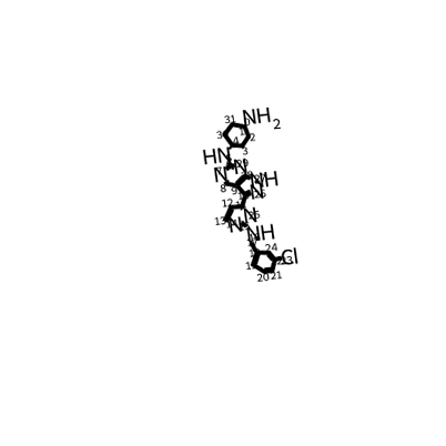 N[C@H]1CC[C@@H](Nc2ncc3c(-c4ccnc(NCc5cccc(Cl)c5)n4)n[nH]c3n2)CC1